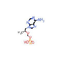 CC(Cn1cnc2c(N)ncnc21)OCO[PH](=O)O